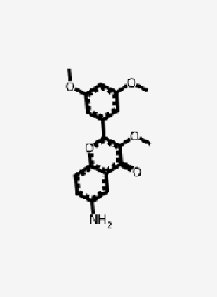 COc1cc(OC)cc(-c2oc3ccc(N)cc3c(=O)c2OC)c1